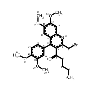 CCCCC(=O)c1c(CBr)nc2cc(OC)c(OC)cc2c1-c1ccc(OC)c(OC)c1